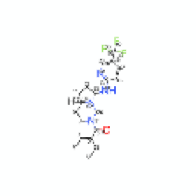 CCC(CC)C(=O)N1CC[C@@H]2CC[C@@H](Nc3ccc(C(F)(F)F)cn3)N2C1